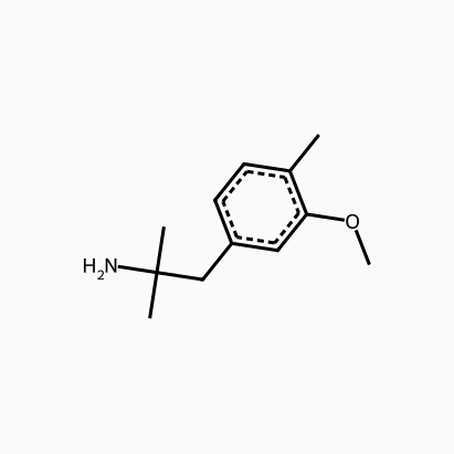 COc1cc(CC(C)(C)N)ccc1C